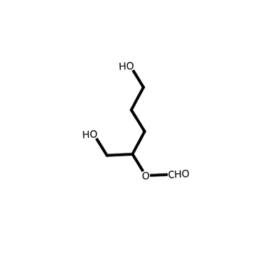 O=COC(CO)CCCO